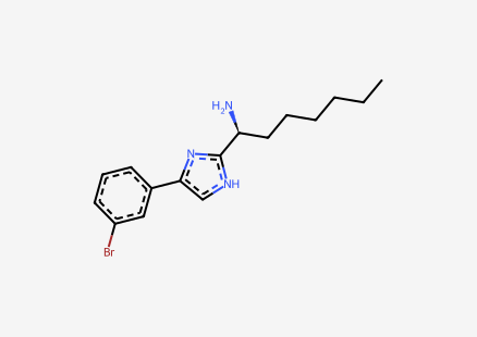 CCCCCC[C@H](N)c1nc(-c2cccc(Br)c2)c[nH]1